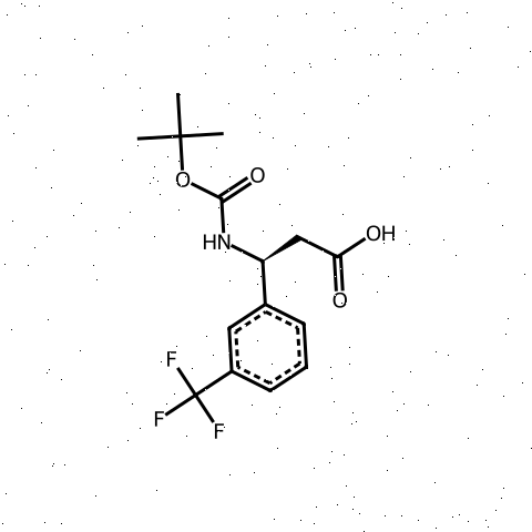 CC(C)(C)OC(=O)N[C@@H](CC(=O)O)c1cccc(C(F)(F)F)c1